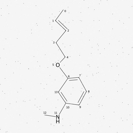 CC=CCCOc1cccc(NC)c1